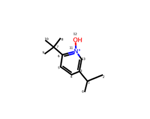 CC(C)c1ccc(C(C)(C)C)[n+](O)c1